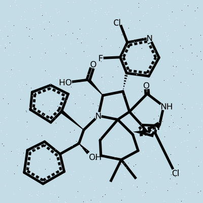 CC1(C)CCC2(CC1)N([C@H](c1ccccc1)[C@@H](O)c1ccccc1)[C@@H](C(=O)O)[C@H](c1ccnc(Cl)c1F)C21C(=O)Nc2cc(Cl)ccc21